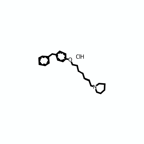 Cl.c1ccc(Cc2ccc(OCCCCCCCN3CCCCC3)cc2)cc1